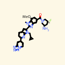 COc1cc(C(=O)N2C[C@H](N)C[C@@H](F)C2)cc2nc(-c3cc4ccc(-c5ccn6nnnc6c5)nc4n3CC3CC3)n(C)c12